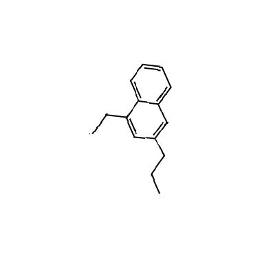 [CH2]Cc1cc(CCC)cc2ccccc12